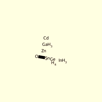 [Cd].[GaH3].[GeH4].[InH3].[O]=[Sn].[Zn]